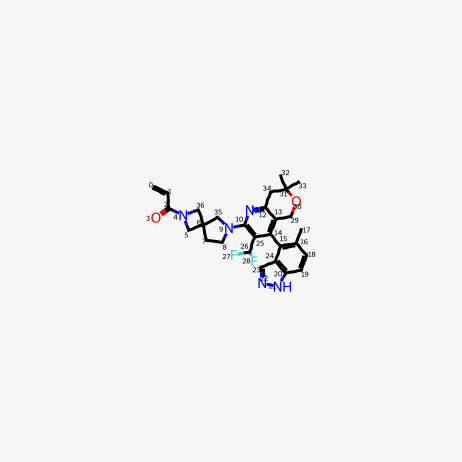 C=CC(=O)N1CC2(CCN(c3nc4c(c(-c5c(C)ccc6[nH]ncc56)c3C(F)F)COC(C)(C)C4)C2)C1